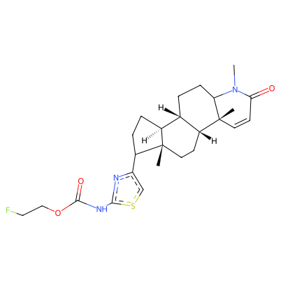 CN1C(=O)C=C[C@@]2(C)C1CC[C@@H]1[C@H]2CC[C@]2(C)C(c3csc(NC(=O)OCCF)n3)CC[C@@H]12